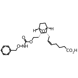 O=C(O)CCC/C=C\C[C@@H]1[C@H](CCOC(=O)NOCc2ccccc2)[C@@H]2CC[C@H]1O2